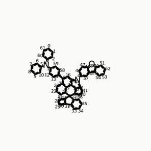 c1ccc(N(c2ccccc2)c2ccc(-c3cc4c5c6c(cccc36)C3(c6ccccc6-c6ccccc63)c3cccc(c35)n4-c3ccc4oc5ccccc5c4c3)cc2)cc1